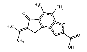 CC(C)=C1Cc2c(c(C)c(C)c3oc(C(=O)O)cc23)C1=O